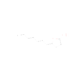 CCCCCCCC1CCC(O)O1